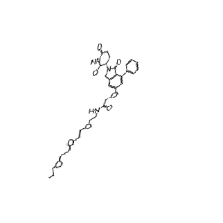 CCCOCCOCCOCCNC(=O)COc1cc2c(c(-c3ccccc3)c1)C(=O)N(C1CCC(=O)NC1=O)C2